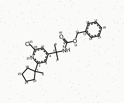 CC1(c2cc(C(C)(C)NC(=O)OCc3ccccc3)cc(Cl)n2)CCCC1